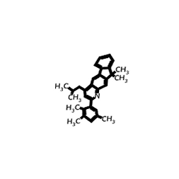 Cc1cc(C)c(C)c(-c2cc(CC(C)C)c3cc4c(cc3n2)C(C)(C)c2ccccc2-4)c1